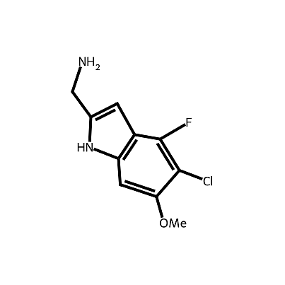 COc1cc2[nH]c(CN)cc2c(F)c1Cl